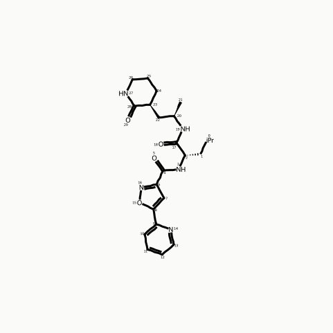 CC(C)C[C@H](NC(=O)c1cc(-c2ccccn2)on1)C(=O)N[C@H](C)C[C@@H]1CCCNC1=O